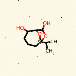 CC(C)[Si]12CCCC(O)C(O1)C(O)O2